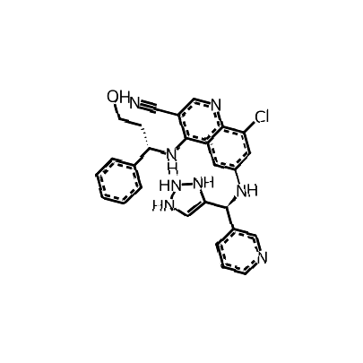 N#Cc1cnc2c(Cl)cc(N[C@H](C3=CNNN3)c3cccnc3)cc2c1N[C@@H](CCO)c1ccccc1